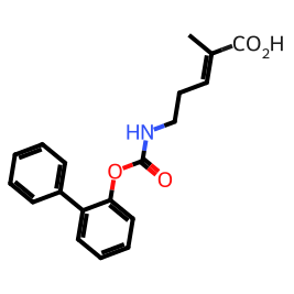 CC(=CCCNC(=O)Oc1ccccc1-c1ccccc1)C(=O)O